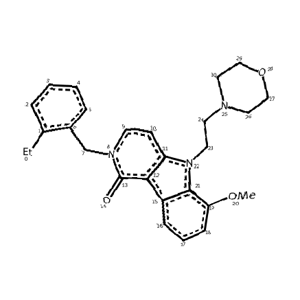 CCc1ccccc1Cn1ccc2c(c1=O)c1cccc(OC)c1n2CCN1CCOCC1